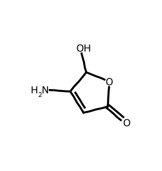 NC1=CC(=O)OC1O